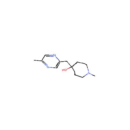 Cc1cnc(CC2(O)CCN(C)CC2)cn1